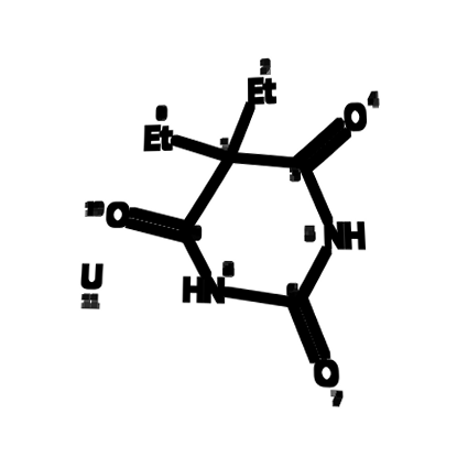 CCC1(CC)C(=O)NC(=O)NC1=O.[U]